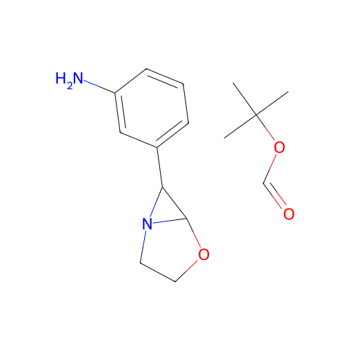 CC(C)(C)OC=O.Nc1cccc(C2C3OCCN32)c1